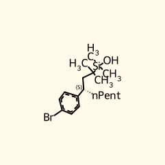 CCCCC[C@@H](CC(C)(C)[Si](C)(C)O)c1ccc(Br)cc1